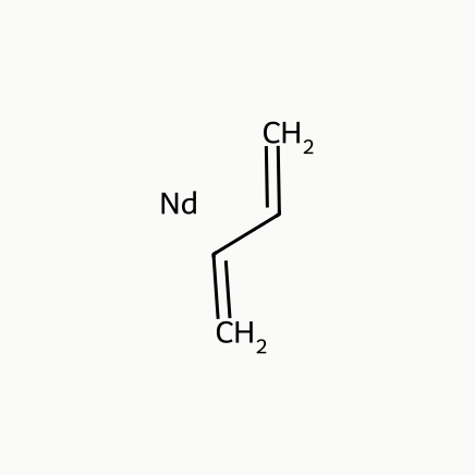 C=CC=C.[Nd]